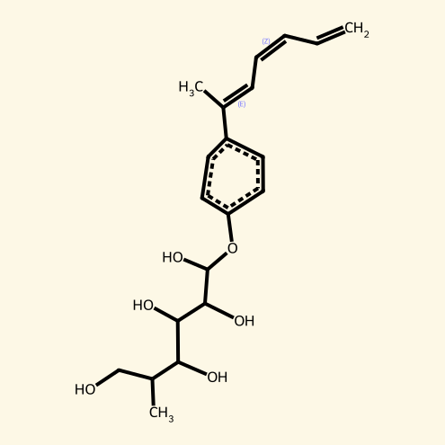 C=C/C=C\C=C(/C)c1ccc(OC(O)C(O)C(O)C(O)C(C)CO)cc1